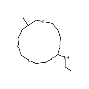 CCNC1CCCCCCCCC(C)CCCCCC1